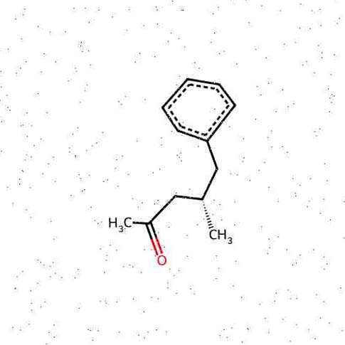 CC(=O)C[C@@H](C)Cc1ccccc1